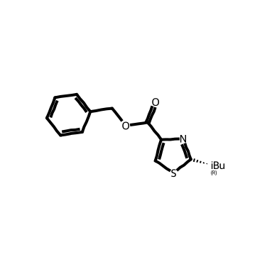 CC[C@@H](C)c1nc(C(=O)OCc2ccccc2)cs1